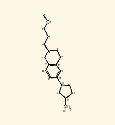 COCCCC1CCc2cc(C3CCC(N)C3)ccc2C1